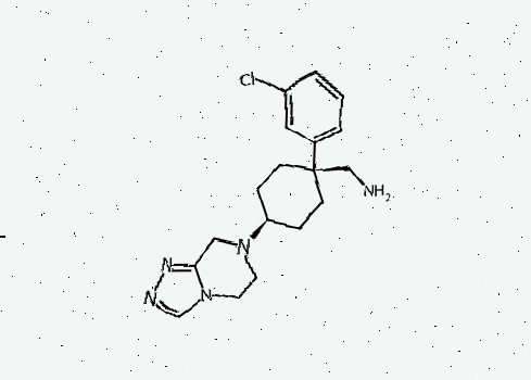 NC[C@]1(c2cccc(Cl)c2)CC[C@H](N2CCn3cnnc3C2)CC1